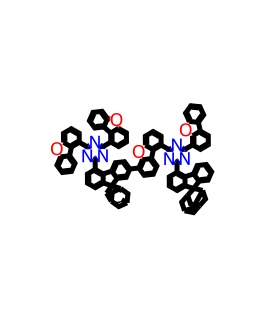 c1ccc2c(c1)-c1c(-c3nc(-c4cccc5c4oc4ccccc45)nc(-c4cccc5oc6c(-c7ccc8c(c7)C7(c9cccc(-c%10nc(-c%11cccc%12oc%13ccccc%13c%11%12)nc(-c%11cccc%12oc%13ccccc%13c%11%12)n%10)c9-8)C8CC9CC(C8)C7C9)cccc6c45)n3)cccc1C21C2CC3CC(C2)CC1C3